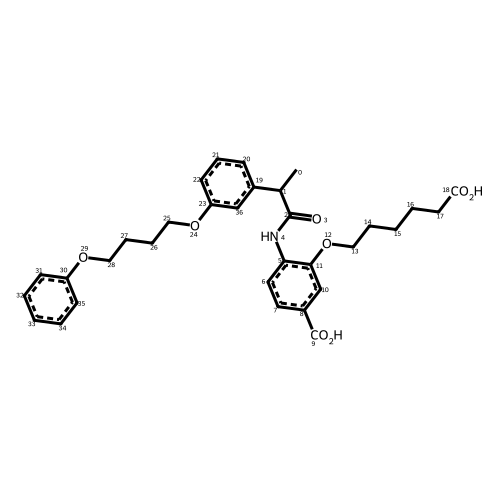 CC(C(=O)Nc1ccc(C(=O)O)cc1OCCCCCC(=O)O)c1cccc(OCCCCOc2ccccc2)c1